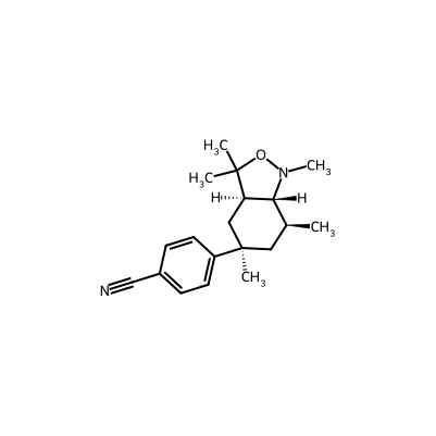 C[C@H]1C[C@@](C)(c2ccc(C#N)cc2)C[C@@H]2[C@@H]1N(C)OC2(C)C